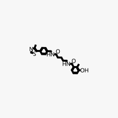 Cc1ncsc1-c1ccc(CNC(=O)CCCCNC(=O)c2cccc(O)c2C)cc1